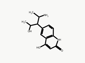 CC(N)C(c1ccc2[nH]c(=O)cc(O)c2c1)C(C)O